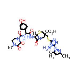 CCN1CCN(C(=O)NC(C(=O)NC2C(=O)N3CC(CSc4nnc(-n5nc(C)cc5C)n4N)(C(=O)O)CS[C@H]23)c2ccc(O)cc2)C(=O)C1=O